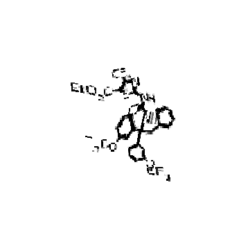 CCOC(=O)c1sc(NC(=O)NC(Cc2ccccc2)(c2cccc(OC(F)(F)F)c2)c2cccc(OC(F)(F)F)c2)nc1C(F)(F)F